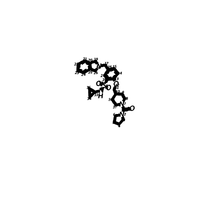 O=C(N1CCCC1)N1CCC(COc2ccc(CN3Cc4ccccc4C3)cc2S(=O)(=O)NC2CC2)CC1